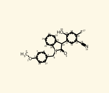 COc1ccc(CN2C(=O)C(c3cc(C#N)c(F)cc3O)c3ccccc32)cc1